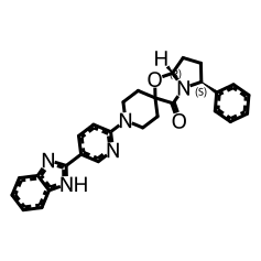 O=C1N2[C@@H](CC[C@H]2c2ccccc2)OC12CCN(c1ccc(-c3nc4ccccc4[nH]3)cn1)CC2